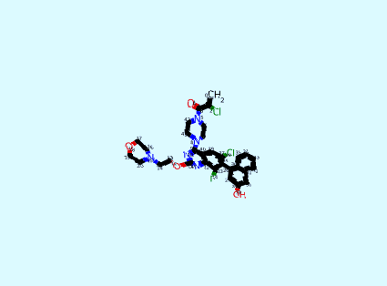 C=C(Cl)C(=O)N1CCN(c2nc(OCCN3CCOCC3)nc3c(F)c(-c4cc(O)cc5ccccc45)c(Cl)cc23)CC1